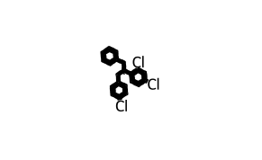 Clc1ccc(C[C](Cc2ccccc2)c2ccc(Cl)cc2Cl)cc1